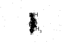 C[C@@H](C1CC1)N(Cc1ccc(F)cc1)C(=O)CN1C(=O)O[C@@]2(CCc3cc(-c4cn[nH]c4)ccc32)C1=O